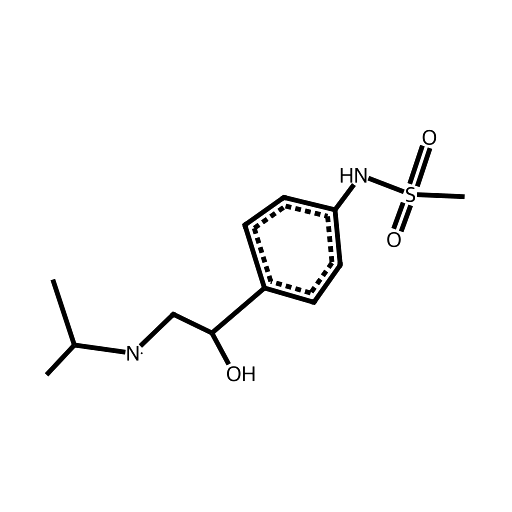 CC(C)[N]CC(O)c1ccc(NS(C)(=O)=O)cc1